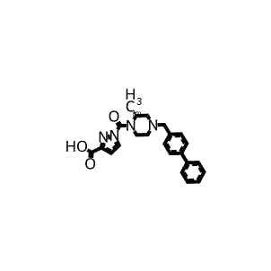 C[C@@H]1CN(Cc2ccc(-c3ccccc3)cc2)CCN1C(=O)n1ccc(C(=O)O)n1